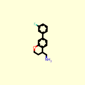 NCC1CCOc2cc(-c3cccc(F)c3)ccc21